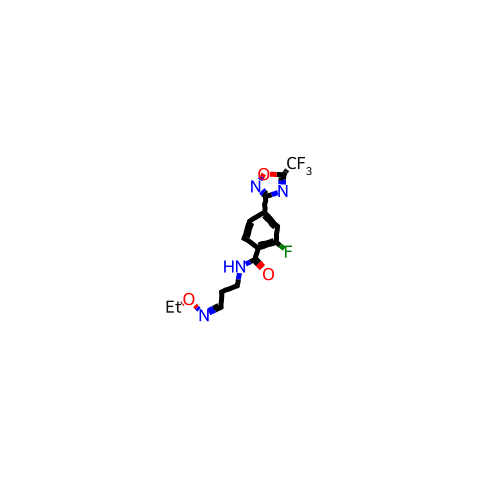 CCO/N=C\CCNC(=O)c1ccc(-c2noc(C(F)(F)F)n2)cc1F